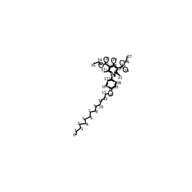 CCCCCCCCCCCCCCOc1ccc(-n2c(C)c(C(=O)OCC)c(=O)c(C(=O)OCC)c2C)cc1